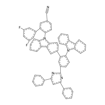 N#Cc1ccc(-n2c3ccccc3c3cc(-c4cc(-c5nc(-c6ccccc6)cc(-c6ccccc6)n5)ccc4-n4c5ccccc5c5ccccc54)ccc32)c(-c2cc(F)cc(F)c2)c1